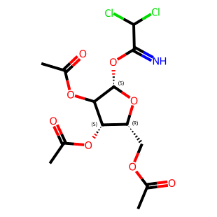 CC(=O)OC[C@H]1O[C@@H](OC(=N)C(Cl)Cl)C(OC(C)=O)[C@H]1OC(C)=O